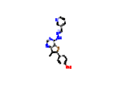 Cc1c(-c2ccc(O)cc2)sc2c(N/N=C/c3cccnc3)ncnc12